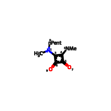 CCCCCN(C)c1c(NC)c(=O)c1=O